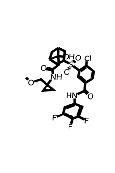 COCC1(NC(=O)CC2(O)C3CC2CC(S(=O)(=O)c2cc(C(=O)Nc4cc(F)c(F)c(F)c4)ccc2Cl)C3)CC1